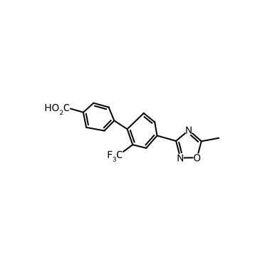 Cc1nc(-c2ccc(-c3ccc(C(=O)O)cc3)c(C(F)(F)F)c2)no1